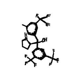 Cc1cc(C(F)(F)F)cc(C(O)(c2cc(C(F)(F)F)cc(C(F)(F)F)c2)[C@H]2CCCN2)c1